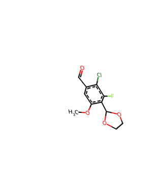 COc1cc(C=O)c(Cl)c(F)c1C1OCCO1